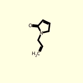 C=CCN1CC=CC1=O